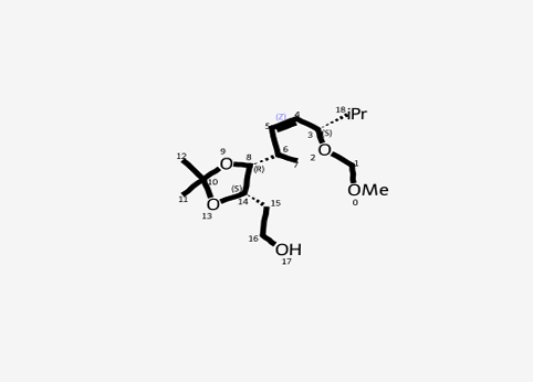 COCO[C@H](/C=C\C(C)[C@H]1OC(C)(C)O[C@H]1CCO)C(C)C